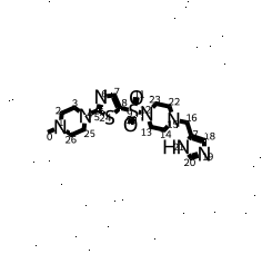 CN1CCN(c2ncc(S(=O)(=O)N3CCN(Cc4cnc[nH]4)CC3)s2)CC1